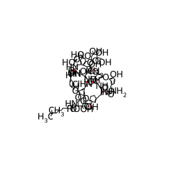 CC(C)CCCCCCC(=O)NC1[C@@H](Oc2c3cc4cc2OC2=C(Cl)C=C(CC2)C[C@H]2NC(=O)[C@H](N)c5ccc(O)c(c5)Oc5cc(O)cc(c5)[C@H](NC2=O)C(=O)N[C@H]4C(=O)NC2C(=O)N[C@H](C(=O)N[C@H](C(=O)O)C4=CC(O)CC(OC5OC(CO)C(O)C(O)C5O)=C4C4C(O)=CC=C2C4C)[C@H](O)C2=CC=C(O3)[C@@H](Cl)C2)OC(CO)C(O)[C@@H]1O